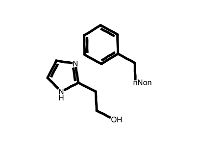 CCCCCCCCCCc1ccccc1.OCCc1ncc[nH]1